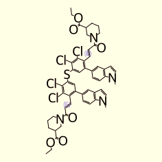 CCOC(=O)C1CCCN(C(=O)/C=C/c2c(-c3ccc4c(ccn4C)c3)cc(Sc3cc(-c4ccc5c(ccn5C)c4)c(/C=C/C(=O)N4CCCC(C(=O)OCC)C4)c(Cl)c3Cl)c(Cl)c2Cl)C1